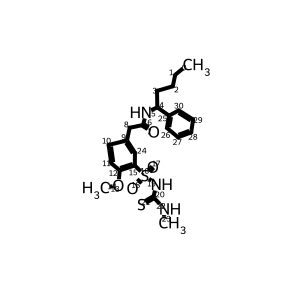 CCCCC(NC(=O)Cc1ccc(OC)c(S(=O)(=O)NC(=S)NC)c1)c1ccccc1